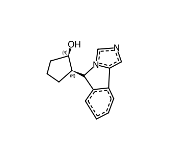 O[C@@H]1CCC[C@@H]1C1c2ccccc2-c2cncn21